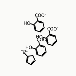 O=C([O-])c1ccccc1O.O=C([O-])c1ccccc1O.O=C([O-])c1ccccc1O.[Ti+3][C]1=CC=CC1